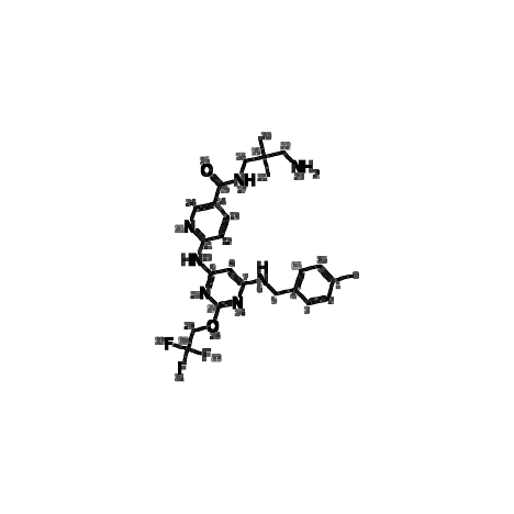 Cc1ccc(CNc2cc(Nc3ccc(C(=O)NCC(C)(C)CN)cn3)nc(OCC(F)(F)F)n2)cc1